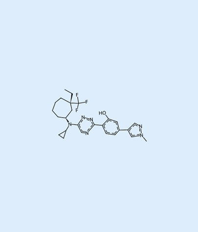 CC[C@]1(C(F)(F)F)CCCC[C@H](N(c2cnc(-c3ccc(-c4cnn(C)c4)cc3O)nn2)C2CC2)C1